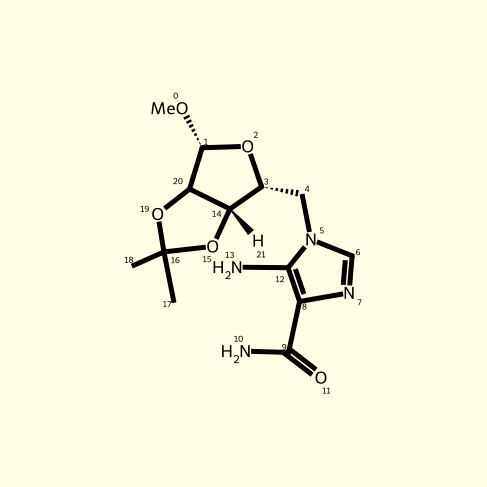 CO[C@@H]1O[C@H](Cn2cnc(C(N)=O)c2N)[C@@H]2OC(C)(C)OC12